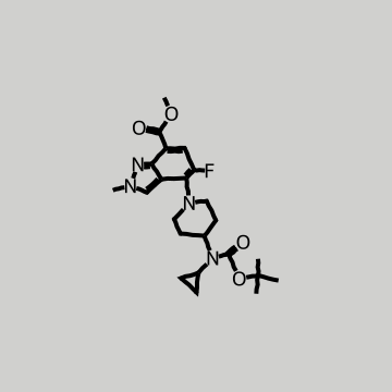 COC(=O)c1cc(F)c(N2CCC(N(C(=O)OC(C)(C)C)C3CC3)CC2)c2cn(C)nc12